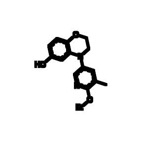 CCOc1ncc(N2CCOc3ccc(O)cc32)cc1C